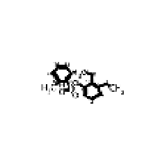 CCc1cccc(OP(=O)(O)c2ccccc2C)c1CC